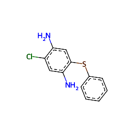 Nc1cc(Sc2ccccc2)c(N)cc1Cl